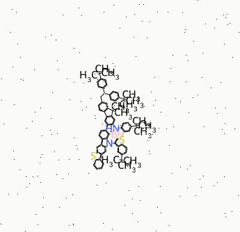 CC(C)(C)c1ccc(Nc2cc3c(cc2-c2ccc4c5cc6sc7ccccc7c6cc5n5c4c2Bc2sc4ccc(C(C)(C)C)cc4c2-5)-c2ccc(CC(c4ccc(C(C)(C)C)cc4)c4ccc(C(C)(C)C)cc4)cc2C3(C)C)cc1